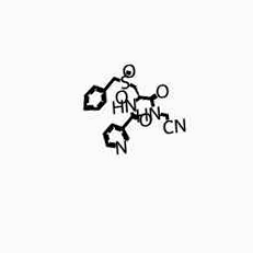 N#CCNC(=O)[C@H](CS(=O)(=O)Cc1ccccc1)NC(=O)c1cccnc1